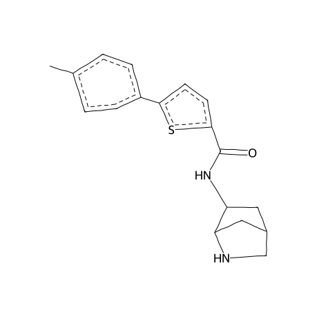 Cc1ccc(-c2ccc(C(=O)NC3CC4CNC3C4)s2)cc1